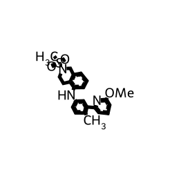 COc1cccc(-c2cc(Nc3cccc4c3CCN(S(C)(=O)=O)C4)ccc2C)n1